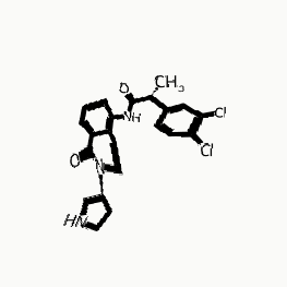 C[C@@H](C(=O)Nc1cccc2c(=O)n([C@H]3CCNC3)ccc12)c1ccc(Cl)c(Cl)c1